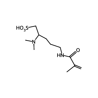 C=C(C)C(=O)NCCCC(CS(=O)(=O)O)N(C)C